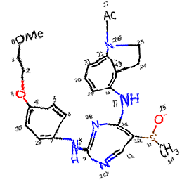 COCCOc1ccc(Nc2ncc([S+](C)[O-])c(Nc3cccc4c3CCN4C(C)=O)n2)cc1